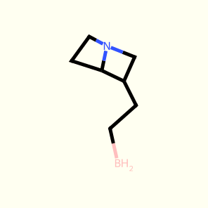 BCCC1CN2CCC12